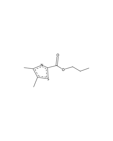 CCCOC(=O)c1nc(C)c(C)s1